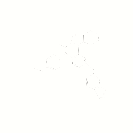 C[C@@H]1C(=O)N(c2ccc(N(C)C)cc2)c2cnc(Nc3ccc4[nH]ncc4c3)nc2N1C1CCCCC1